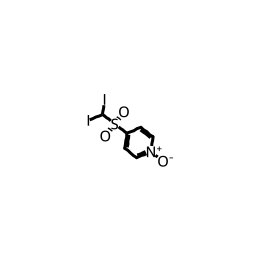 O=S(=O)(c1cc[n+]([O-])cc1)C(I)I